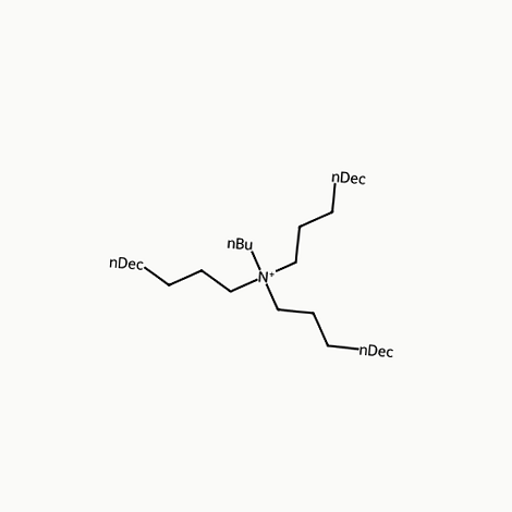 CCCCCCCCCCCCC[N+](CCCC)(CCCCCCCCCCCCC)CCCCCCCCCCCCC